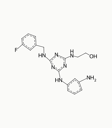 Nc1cccc(Nc2nc(NCCO)nc(NCc3cccc(F)c3)n2)c1